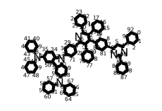 c1ccc(-c2cc(-c3ccc(-c4c(-c5ccccc5)c(-c5ccccc5)nc(-c5ccc(-n6c7ccc(N(c8ccccc8)c8ccccc8)cc7c7cc(N(c8ccccc8)c8ccccc8)ccc76)cc5)c4-c4ccccc4)cc3)nc(-c3ccccc3)n2)cc1